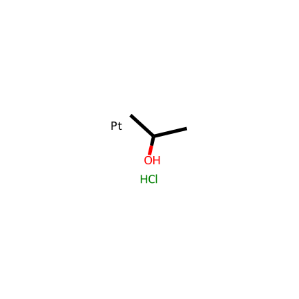 CC(C)O.Cl.[Pt]